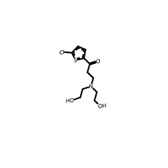 O=C(CCN(CCO)CCO)c1ccc(Cl)s1